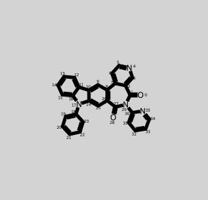 O=c1c2cnccc2c2cc3c4ccccc4n(-c4ccccc4)c3cc2c(=O)n1-c1ccccn1